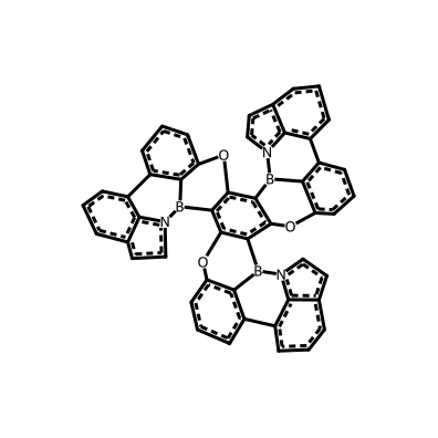 c1cc2c3c(c1)-c1cccc4ccn(c14)B3c1c(c3c(c4c1Oc1cccc5c1B4n1ccc4cccc-5c41)Oc1cccc4c1B3n1ccc3cccc-4c31)O2